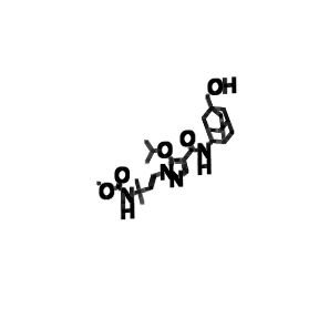 COC(=O)NC(C)(C)/C=C/n1ncc(C(=O)NC2C3CC4CC2CC(CO)(C4)C3)c1OC(C)C